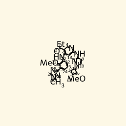 CCC(=O)c1cnc(Nc2ccn([C@H]3C[C@@H](OC)C3)n2)cc1Nc1cccc(-c2ncn(C)n2)c1OC